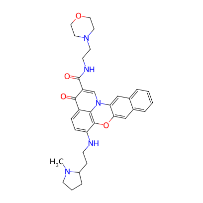 CN1CCCC1CCNc1ccc2c(=O)c(C(=O)NCCN3CCOCC3)cn3c2c1Oc1cc2ccccc2cc1-3